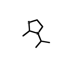 CC(C)N1CCSC1C